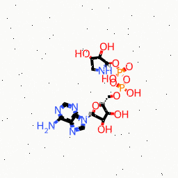 Nc1ncnc2c1ncn2[C@@H]1O[C@H](COP(=O)(O)OP(=O)(O)O[C@H]2NCC(O)C2O)C(O)C1O